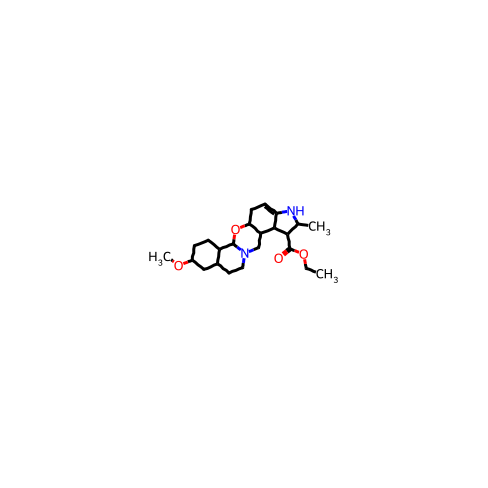 CCOC(=O)C1C(C)NC2=CCC3OC4C5CCC(OC)CC5CCN4CC3C21